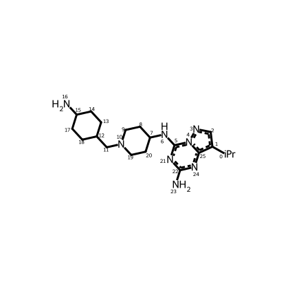 CC(C)c1cnn2c(NC3CCN(CC4CCC(N)CC4)CC3)nc(N)nc12